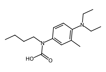 CCCCN(C(=O)O)c1ccc(N(CC)CC)c(C)c1